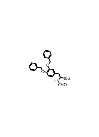 CC(C)(C)C(Cc1ccc(OCc2ccccc2)c(OCc2ccccc2)c1)NC=O